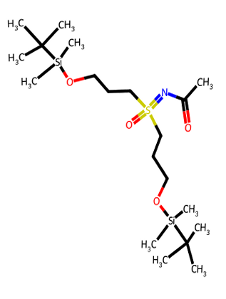 CC(=O)N=S(=O)(CCCO[Si](C)(C)C(C)(C)C)CCCO[Si](C)(C)C(C)(C)C